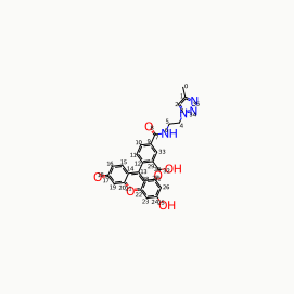 Cc1cn(CCNC(=O)c2ccc(-c3c4ccc(=O)cc-4oc4cc(O)ccc34)c(C(=O)O)c2)nn1